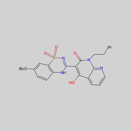 CC(C)CCn1c(=O)c(C2=NS(=O)(=O)c3cc(OCC(C)C)ccc3N2)c(O)c2cccnc21